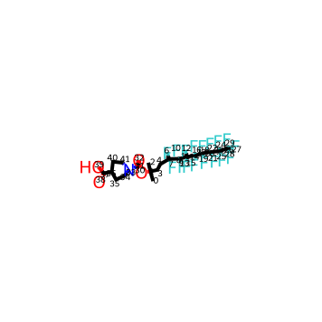 CC(C)(CCC(F)(F)C(F)(F)C(F)(F)C(F)(F)C(F)(F)C(F)(F)C(F)(F)C(F)(F)F)OC(=O)N1CCC(C(=O)O)CC1